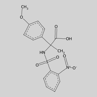 COc1ccc(C(C)(NS(=O)(=O)c2ccccc2[N+](=O)[O-])C(=O)O)cc1